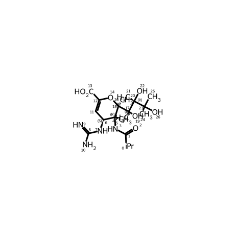 CC(C)C(=O)N[C@]1(C)[C@@H](NC(=N)N)C=C(C(=O)O)O[C@@]1(C)[C@](C)(O)[C@](C)(O)C(C)(C)O